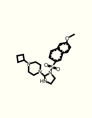 COc1ccc2cc(S(=O)(=O)N3CCNC3N3CCN(C4CCC4)CC3)ccc2c1